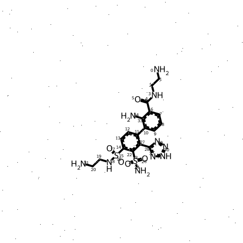 NCCNC(=O)c1cccc(-c2ccc(S(=O)(=O)NCCN)c(S(N)(=O)=O)c2-c2nn[nH]n2)c1N